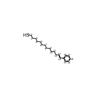 SCCCCCCCCCCCCC=Cc1ccccc1